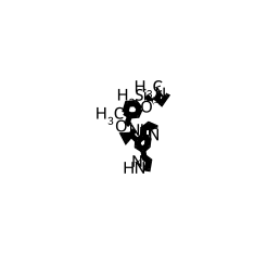 Cc1ccc(OC([SiH3])[C@@H]2CCN2C)cc1C(=O)NC1(c2cc(-c3cc[nH]n3)cc3ncccc23)CC1